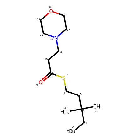 CC(C)(C)CC(C)(C)CCSC(=O)CCN1CCOCC1